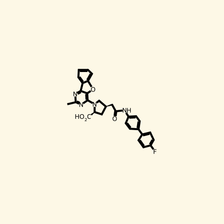 Cc1nc(N2C[C@@H](CC(=O)Nc3ccc(-c4ccc(F)cc4)cc3)C[C@H]2C(=O)O)c2oc3ccccc3c2n1